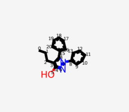 CCCc1c(O)nn(-c2ccccc2)c1-c1ccccc1